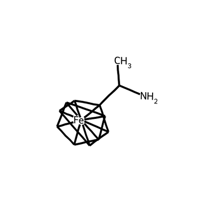 CC(N)[C]12[CH]3[CH]4[CH]5[CH]1[Fe]45321678[CH]2[CH]1[CH]6[CH]7[CH]28